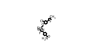 CCOc1c(F)c(-c2ccc(C(N)=O)cc2)nn1CCOc1ccc(-c2cc(C)cs2)cc1Cl